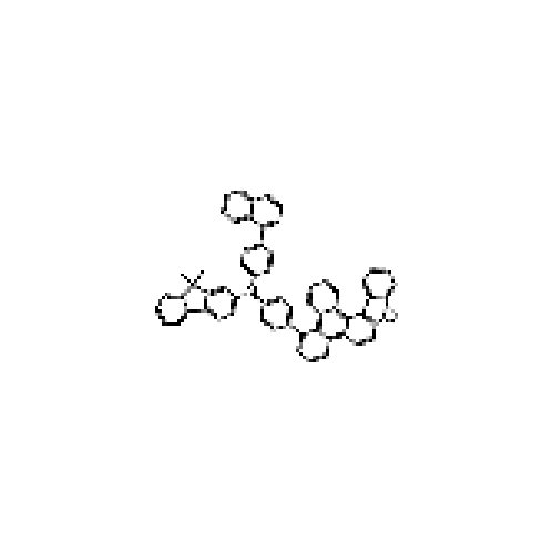 CC1(C)c2ccccc2-c2ccc(N(c3ccc(-c4cccc5ccccc45)cc3)c3ccc(-c4cccc5c6ccc7oc8ccccc8c7c6c6ccccc6c45)cc3)cc21